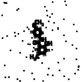 COc1ccc(NC(=O)c2cc(C)ccc2O)cc1